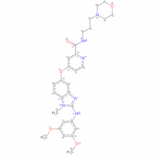 COc1cc(Nc2nc3cc(Oc4ccnc(C(=O)NCCCN5CCOCC5)c4)ccc3n2C)cc(OC)c1